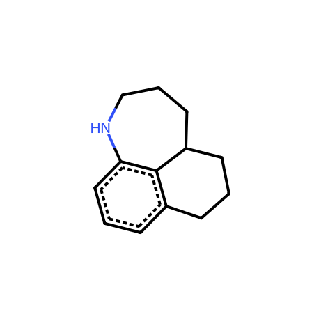 c1cc2c3c(c1)NCCCC3CCC2